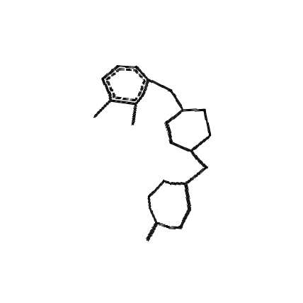 Cc1cccc(CC2CCC(CC3CCC(C)CC3)CC2)c1C